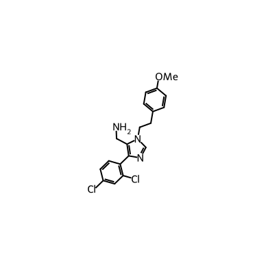 COc1ccc(CCn2cnc(-c3ccc(Cl)cc3Cl)c2CN)cc1